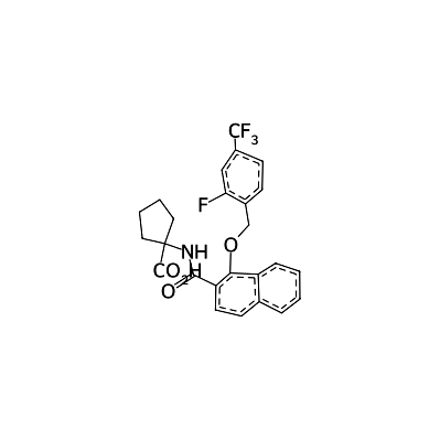 O=C(NC1(C(=O)O)CCCC1)c1ccc2ccccc2c1OCc1ccc(C(F)(F)F)cc1F